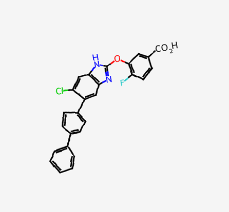 O=C(O)c1ccc(F)c(Oc2nc3cc(-c4ccc(-c5ccccc5)cc4)c(Cl)cc3[nH]2)c1